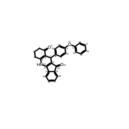 O=C1CCCC2=C1C(c1ccc(Oc3ccccc3)cc1)C1=C(N2)c2ccccc2C1=O